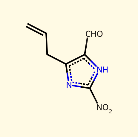 C=CCc1nc([N+](=O)[O-])[nH]c1C=O